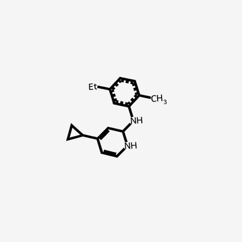 CCc1ccc(C)c(NC2C=C(C3CC3)C=CN2)c1